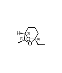 CC[C@]12CCC[C@H](O1)[C@H](C)O2